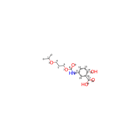 CC(C)OCCCOC(=O)Nc1ccc(O)c(C(=O)O)c1